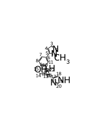 Cn1nccc1-c1ccc2c(c1)[C@@H]1[C@H](CO2)[C@H]1c1c[nH]cn1